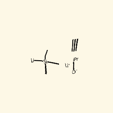 C#C.CC(C)[O-].[Li+].[Li][Si](C)(C)C